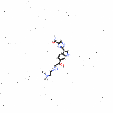 CCN(CC)CCNCC(=O)c1ccc2c(-c3nc(C(N)=O)c[nH]3)c[nH]c2c1